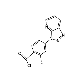 O=C(Cl)c1ccc(-n2nnc3cccnc32)cc1F